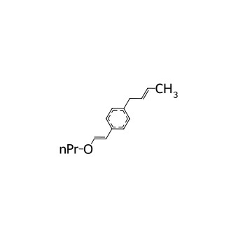 CC=CCc1ccc(C=COCCC)cc1